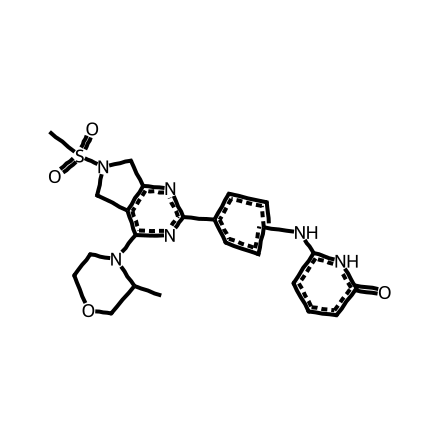 CC1COCCN1c1nc(-c2ccc(Nc3cccc(=O)[nH]3)cc2)nc2c1CN(S(C)(=O)=O)C2